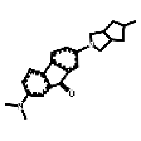 CC1CC2CN(c3ccc4c(c3)C(=O)c3cc(N(C)C)ccc3-4)CC2C1